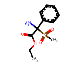 CCOC(=O)C(N)(c1ccccc1)S(C)(=O)=O